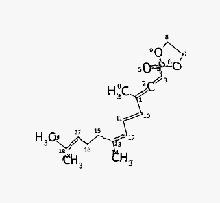 CC(=C=CP1(=O)OCCO1)C=CC=C(C)CCC=C(C)C